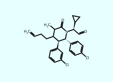 C=CCCC1C(C)C(=O)N([C@H](C=O)C2CC2)[C@H](c2ccc(Cl)cc2)[C@H]1c1cccc(Cl)c1